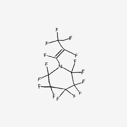 FC(=C(F)C(F)(F)F)N1C(F)(F)C(F)(F)C(F)(F)C(F)(F)C1(F)F